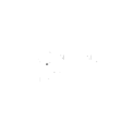 NC(=O)c1ccccc1N1CCC(N)CC1